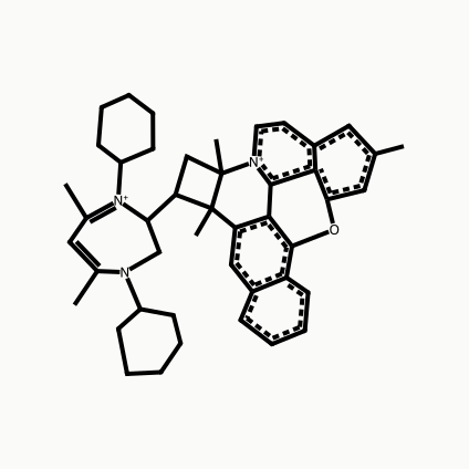 CC1=CC(C)=[N+](C2CCCCC2)C(C2CC3(C)[n+]4ccc5cc(C)cc6c5c4-c4c(cc5ccccc5c4O6)C23C)CN1C1CCCCC1